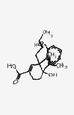 C=C(C)C1(O)CCC(C(=O)O)=CC1(CCCC)c1ccccc1O